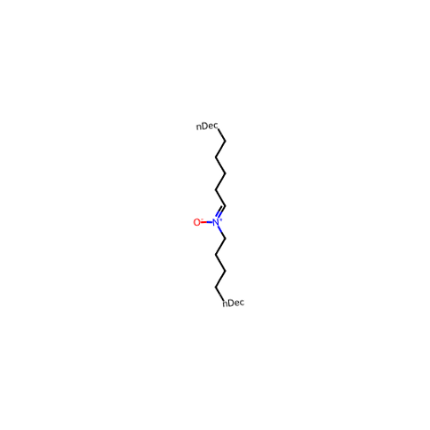 CCCCCCCCCCCCCCC=[N+]([O-])CCCCCCCCCCCCCC